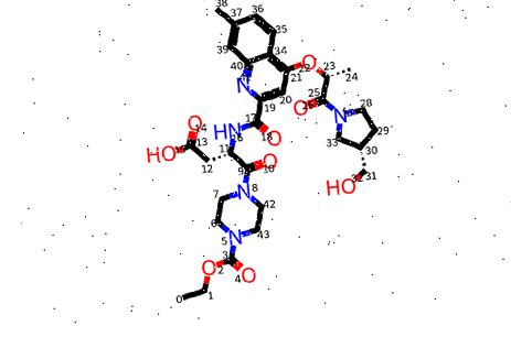 CCOC(=O)N1CCN(C(=O)[C@H](CC(=O)O)NC(=O)c2cc(O[C@H](C)C(=O)N3CC[C@H](CO)C3)c3ccc(C)cc3n2)CC1